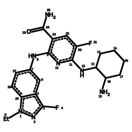 CCn1nc(F)c2cc(Nc3nc(NC4CCCCC4N)c(F)cc3C(N)=O)ccc21